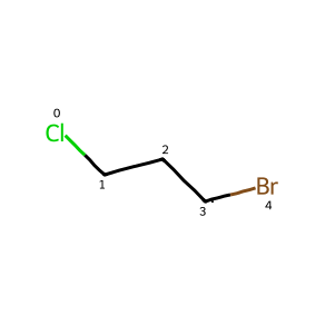 ClCC[CH]Br